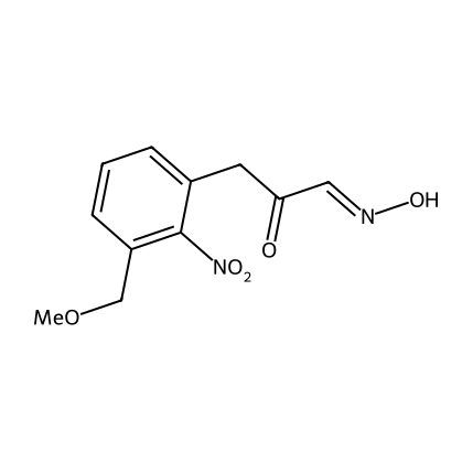 COCc1cccc(CC(=O)C=NO)c1[N+](=O)[O-]